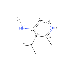 C=C(C)c1c(NC(C)C)ccnc1C